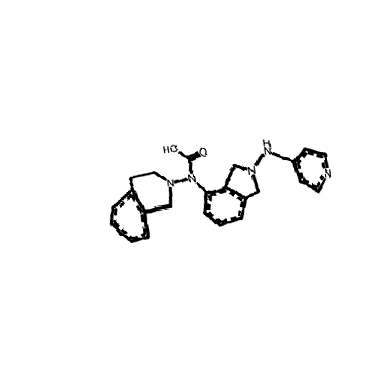 O=C(O)N(c1cccc2c1CN(Nc1ccncc1)C2)N1CCc2ccccc2C1